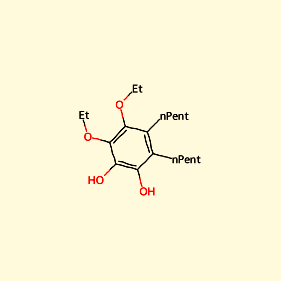 CCCCCc1c(O)c(O)c(OCC)c(OCC)c1CCCCC